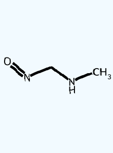 CNCN=O